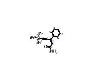 CC(C)[Si](C#C/C(=C\C(N)=O)c1ccccc1)(C(C)C)C(C)C